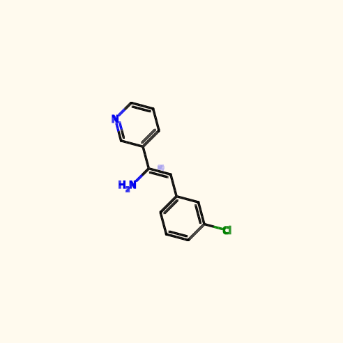 N/C(=C\c1cccc(Cl)c1)c1cccnc1